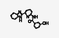 O=C(Nc1cccc(-c2nc3ccccc3[nH]2)n1)c1cccc(O)c1